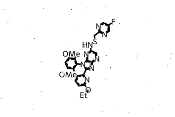 CCOc1cccc(-c2nc3ncc(NSCc4ncc(F)cn4)nc3n2-c2c(OC)cccc2OC)n1